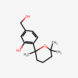 CC1(C)CCCC(C)(c2ccc(CO)cc2O)O1